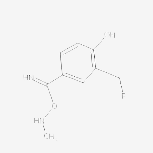 CNOC(=N)c1ccc(O)c(CF)c1